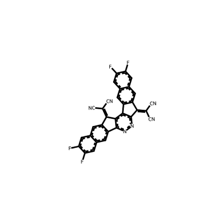 N#CC(C#N)=C1c2cc3cc(F)c(F)cc3cc2-c2c1nnc1c2C(=C(C#N)C#N)c2cc3cc(F)c(F)cc3cc2-1